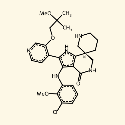 COc1c(Cl)cccc1Nc1c(-c2ccncc2OCC(C)(C)OC)[nH]c2c1C(=O)NC[C@@]21CCCNC1